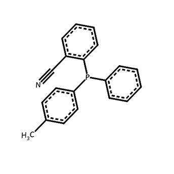 Cc1ccc(P(c2ccccc2)c2ccccc2C#N)cc1